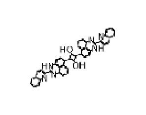 OC1=C(c2ccc3c4c(cccc24)N=C(c2ccc4ccccc4n2)N3)C(O)=C1c1ccc2c3c(cccc13)N=C(c1ccc3ccccc3n1)N2